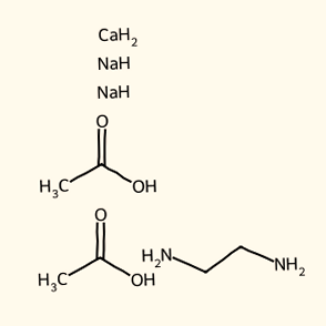 CC(=O)O.CC(=O)O.NCCN.[CaH2].[NaH].[NaH]